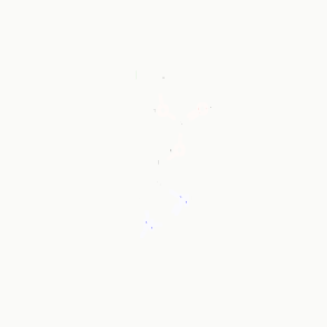 Cn1cnc(COC(=O)OCCl)c1